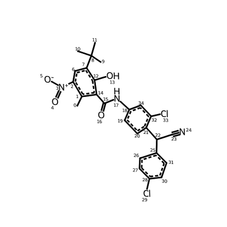 Cc1c([N+](=O)[O-])cc(C(C)(C)C)c(O)c1C(=O)Nc1ccc(C(C#N)c2ccc(Cl)cc2)c(Cl)c1